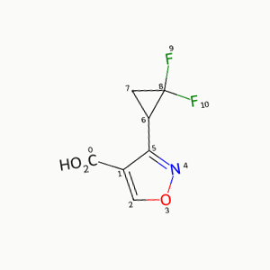 O=C(O)c1conc1C1CC1(F)F